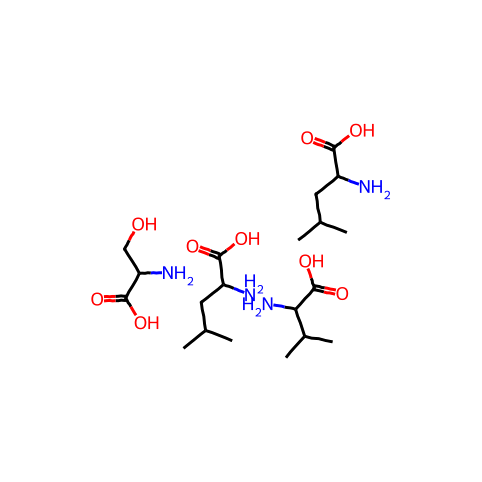 CC(C)C(N)C(=O)O.CC(C)CC(N)C(=O)O.CC(C)CC(N)C(=O)O.NC(CO)C(=O)O